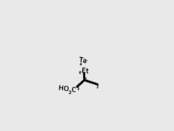 CCC(C)C(=O)O.[Ta]